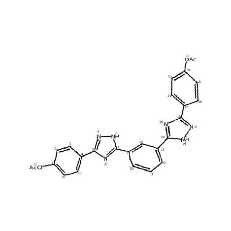 CC(=O)Oc1ccc(-c2n[nH]c(-c3cccc(-c4nc(-c5ccc(OC(C)=O)cc5)n[nH]4)c3)n2)cc1